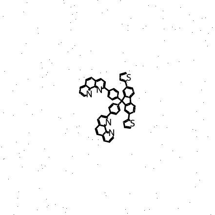 c1csc(-c2ccc3c(c2)C(c2ccc(-c4ccc5ccc6cccnc6c5n4)cc2)(c2ccc(-c4ccc5ccc6cccnc6c5n4)cc2)c2cc(-c4cccs4)ccc2-3)c1